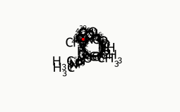 CN(C)[C@H]1CCN(C(=O)O[C@H]2/C=C/COC(C)(C)C(=O)NS(=O)(=O)c3ccc4c(c3)N(C[C@@H]3CC[C@H]32)C[C@@]2(CCCc3cc(Cl)ccc32)CO4)C1